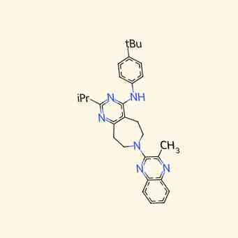 Cc1nc2ccccc2nc1N1CCc2nc(C(C)C)nc(Nc3ccc(C(C)(C)C)cc3)c2CC1